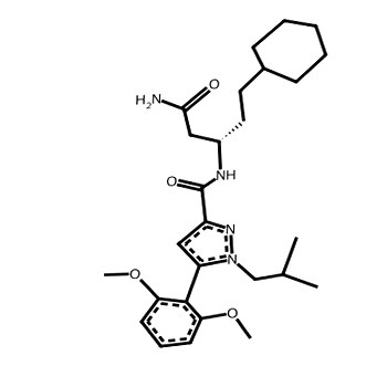 COc1cccc(OC)c1-c1cc(C(=O)N[C@@H](CCC2CCCCC2)CC(N)=O)nn1CC(C)C